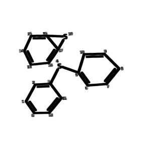 c1ccc(Sc2ccccc2)cc1.c1ccc2c(c1)S2